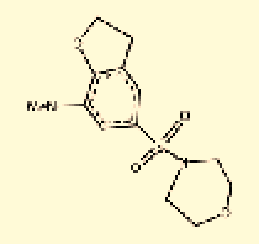 CNc1cc(S(=O)(=O)N2CCOCC2)cc2c1OCC2